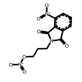 O=C1c2cccc([N+](=O)[O-])c2C(=O)N1CCCO[N+](=O)[O-]